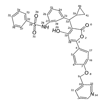 O=c1oc(-c2ccc(OCc3cccnc3)cc2)cc(O)c1C(c1cccc(NS(=O)(=O)c2ccccc2)c1)C1CC1